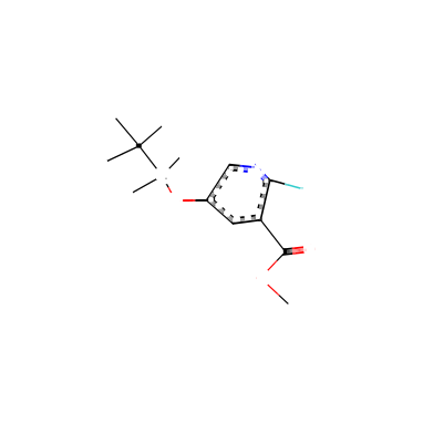 COC(=O)c1cc(O[Si](C)(C)C(C)(C)C)cnc1F